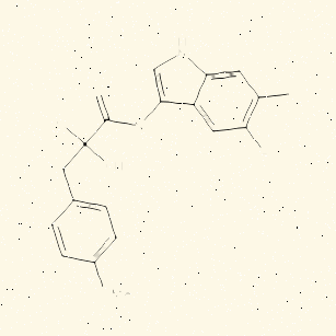 COc1ccc(CC(C)(C)C(=O)Nc2c[nH]c3cc(F)c(F)cc23)cc1